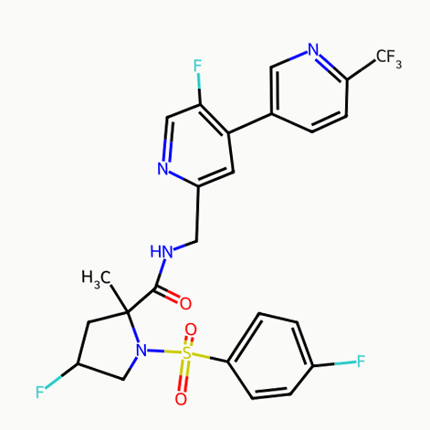 CC1(C(=O)NCc2cc(-c3ccc(C(F)(F)F)nc3)c(F)cn2)CC(F)CN1S(=O)(=O)c1ccc(F)cc1